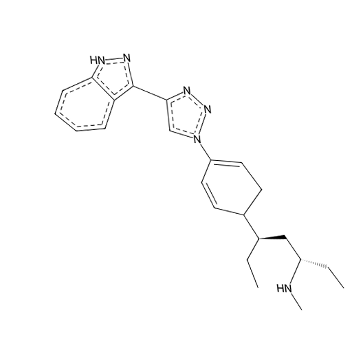 CC[C@@H](C[C@@H](CC)C1C=CC(n2cc(-c3n[nH]c4ccccc34)nn2)=CC1)NC